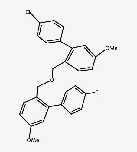 COc1ccc(COCc2ccc(OC)cc2-c2ccc(Cl)cc2)c(-c2ccc(Cl)cc2)c1